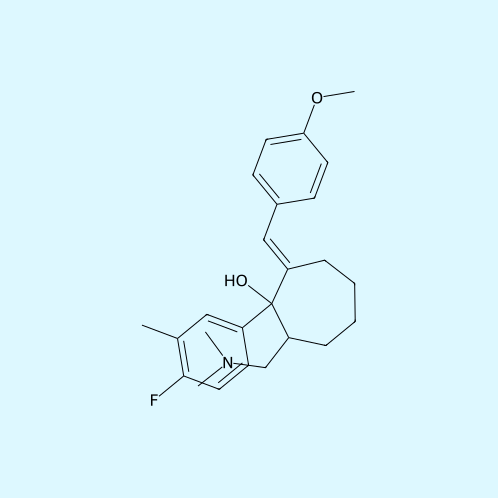 COc1ccc(C=C2CCCCC(CN(C)C)C2(O)c2ccc(F)c(C)c2)cc1